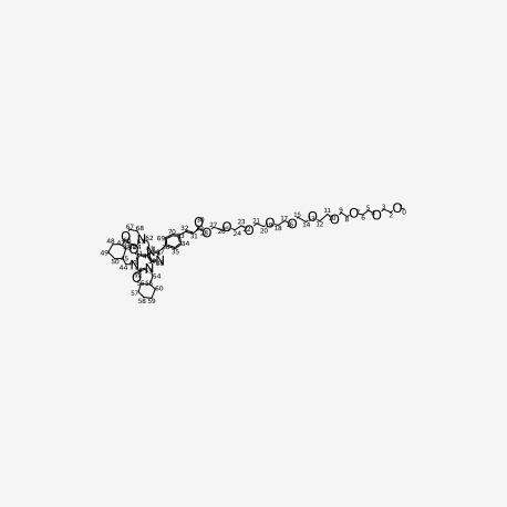 COCCOCCOCCOCCOCCOCCOCCOCCOCCOC(=O)/C=C/c1ccc(-c2nc3c(c(=O)n(CC4CCCCC4)c(=O)n3CC3CCCCC3)n2CN2CCOCC2)cc1